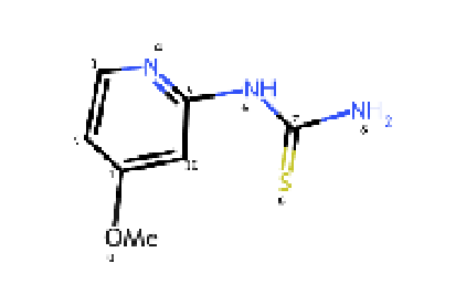 COc1ccnc(NC(N)=S)c1